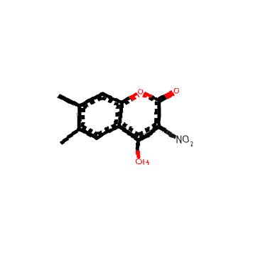 Cc1cc2oc(=O)c([N+](=O)[O-])c(O)c2cc1C